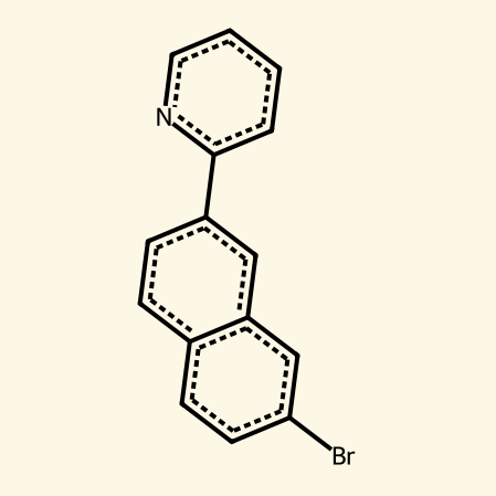 Brc1ccc2ccc(-c3ccccn3)cc2c1